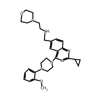 COc1ccccc1N1CCN(c2nc(C3CC3)nc3ccc(CNCCN4CCOCC4)cc23)CC1